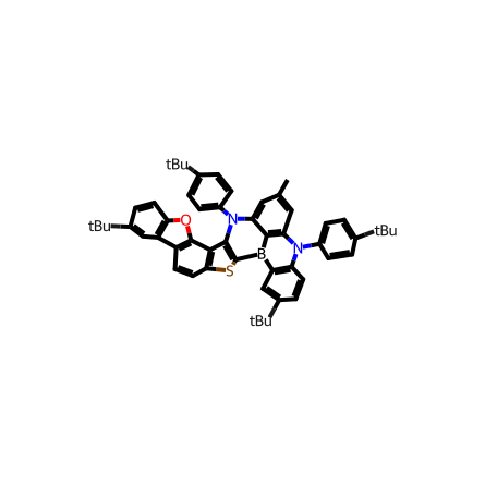 Cc1cc2c3c(c1)N(c1ccc(C(C)(C)C)cc1)c1c(sc4ccc5c6cc(C(C)(C)C)ccc6oc5c14)B3c1cc(C(C)(C)C)ccc1N2c1ccc(C(C)(C)C)cc1